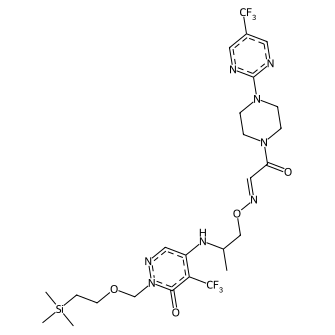 CC(CO/N=C/C(=O)N1CCN(c2ncc(C(F)(F)F)cn2)CC1)Nc1cnn(COCC[Si](C)(C)C)c(=O)c1C(F)(F)F